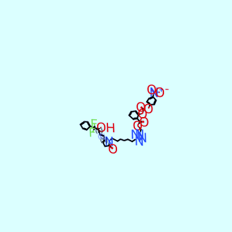 O=C(Oc1ccc([N+](=O)[O-])cc1)Oc1ccccc1C(=O)OCn1nnc(CCCCCCN2C(=O)CC[C@H]2/C=C/[C@H](O)C(F)(F)c2ccccc2)n1